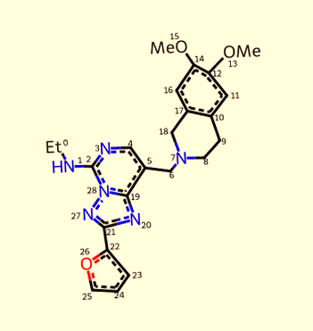 CCNc1ncc(CN2CCc3cc(OC)c(OC)cc3C2)c2nc(-c3ccco3)nn12